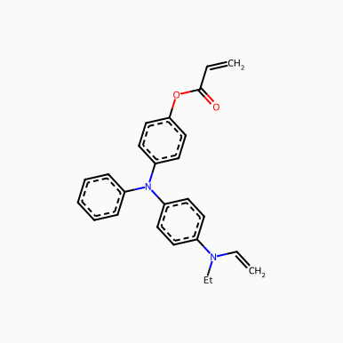 C=CC(=O)Oc1ccc(N(c2ccccc2)c2ccc(N(C=C)CC)cc2)cc1